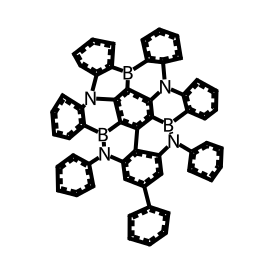 c1ccc(-c2cc3c4c(c2)N(c2ccccc2)B2c5ccccc5N5c6ccccc6B6c7ccccc7N7c8ccccc8B(c8c-4c2c5c6c87)N3c2ccccc2)cc1